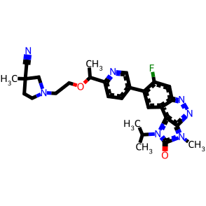 CC(OCCN1CCC(C)(C#N)C1)c1ccc(-c2cc3c(cc2F)nnc2c3n(C(C)C)c(=O)n2C)cn1